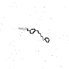 CCOC(=O)/C=C/c1ccc(C=CCCCOc2ccccc2)cc1